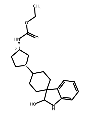 CCOC(=O)N[C@H]1CCN(C2CCC3(CC2)c2ccccc2NC3O)C1